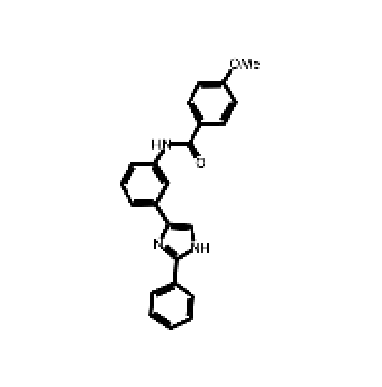 COc1ccc(C(=O)Nc2cccc(-c3c[nH]c(-c4ccccc4)n3)c2)cc1